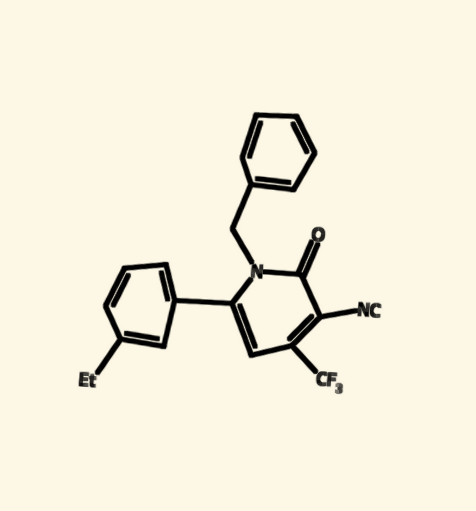 [C-]#[N+]c1c(C(F)(F)F)cc(-c2cccc(CC)c2)n(Cc2ccccc2)c1=O